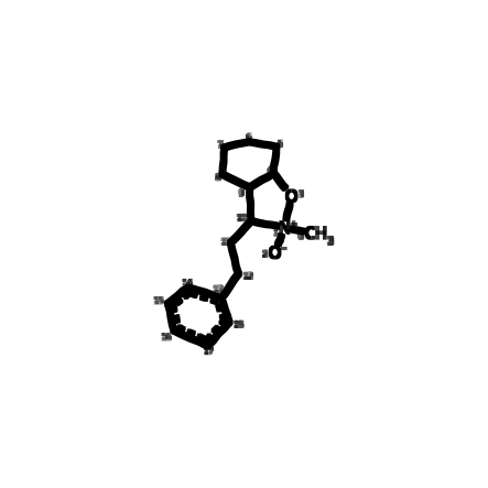 C[N+]1([O-])OC2CCCCC2C1CCc1ccccc1